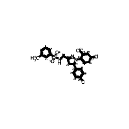 Cc1cccc(S(=O)(=O)NCC2=NN(C3=CCC(Cl)C=C3Cl)C(c3ccc(Cl)cc3)C2)c1